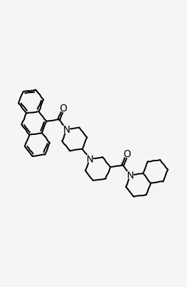 O=C(c1c2ccccc2cc2ccccc12)N1CCC(N2CCCC(C(=O)N3CCCC4CCCCC43)C2)CC1